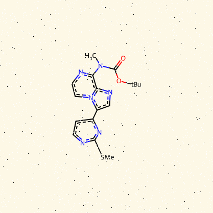 CSc1nccc(-c2cnc3c(N(C)C(=O)OC(C)(C)C)nccn23)n1